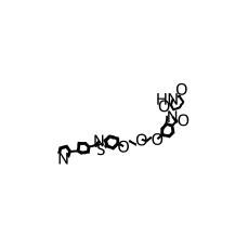 O=C1CCC(N2Cc3cc(OCCOCCOc4ccc5nc(-c6ccc(-c7cccnc7)cc6)sc5c4)ccc3C2=O)C(=O)N1